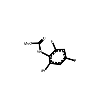 COC(=O)Nc1c(F)cc(F)cc1C(C)C